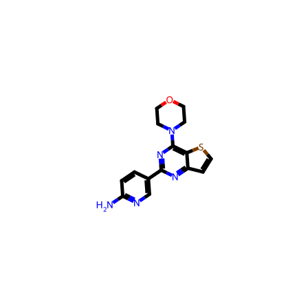 Nc1ccc(-c2nc(N3CCOCC3)c3sccc3n2)cn1